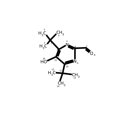 CC(C)(C)c1nc(C=O)nc(C(C)(C)C)c1O